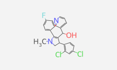 CN1CC(c2ccc(Cl)cc2Cl)C(C(O)c2cccnc2)=C1c1ccc(F)cc1